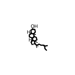 CCC(C)=CCC[C@@H](C)[C@H]1CC[C@H]2C3=C(CC[C@]12C)[C@@]1(C)CC[C@H](O)C[C@@H]1CC3